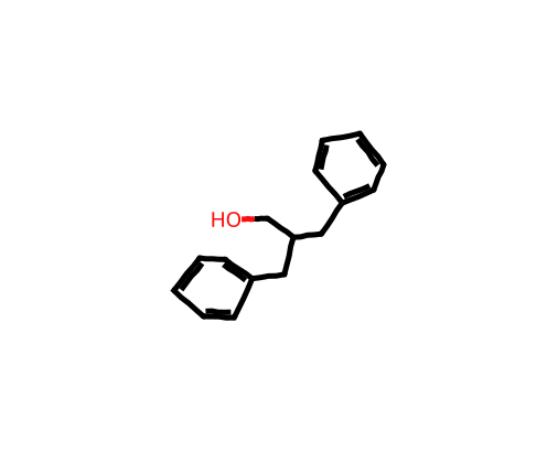 OCC(Cc1ccccc1)Cc1ccccc1